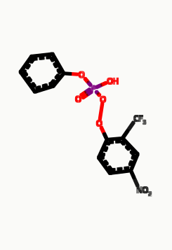 O=[N+]([O-])c1ccc(OOP(=O)(O)Oc2ccccc2)c(C(F)(F)F)c1